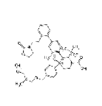 COC[C@H](C)COCc1ccc([C@@]2(O)CCN(C(=O)O)C(C(C)(C)C)[C@@H]2c2ccc(-c3ccccc3CCN3CCOC3=O)cc2C)cc1